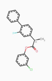 C[C@@H](C(=O)Oc1cccc(Cl)c1)c1ccc(-c2ccccc2)c(F)c1